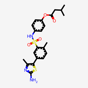 Cc1ccc(-c2sc(N)nc2C)cc1S(=O)(=O)Nc1ccc(OC(=O)CC(C)C)cc1